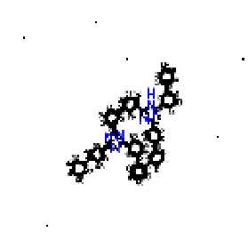 c1ccc(-c2ccc(C3=NC(c4cccc(-c5ccccc5)c4)NC(c4cccc(-c5cccc(-c6nc(-c7ccc(-c8ccccc8)cc7)nc(-c7cccc(-c8ccccc8)c7)n6)c5)c4)=N3)cc2)cc1